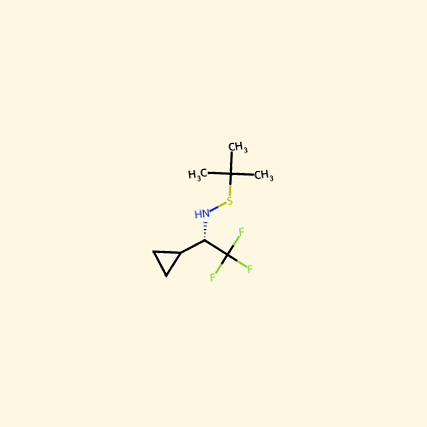 CC(C)(C)SN[C@@H](C1CC1)C(F)(F)F